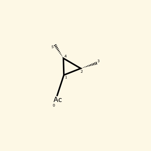 CC(=O)C1[C@@H](C)[C@H]1C